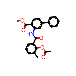 COC(=O)c1ccc(-c2ccccc2)cc1NC(=O)c1cccc(C)c1OC(C)=O